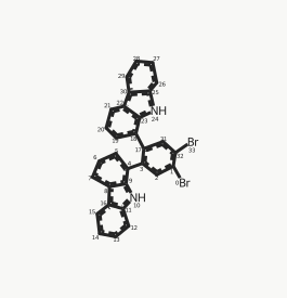 Brc1cc(-c2cccc3c2[nH]c2ccccc23)c(-c2cccc3c2[nH]c2ccccc23)cc1Br